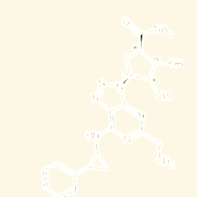 CSc1nc(NC2CC2c2ccccc2)c2nnn([C@H]3C[C@@H](C(N)=O)[C@H](O)[C@@H]3O)c2n1